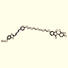 COc1ccc2nc(/C=C/C=C/c3ccc(OCCOCCOCCOCCOc4ccc5c(c4)C(=O)N(C4CCC(=O)NC4=O)C5=O)nc3)sc2c1